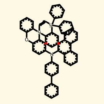 c1ccc(-c2ccc(N(c3ccc4c(c3)[Si]3(c5ccccc5O4)c4ccccc4[Si](c4ccccc4)(c4ccccc4)c4ccccc43)c3cc4ccccc4c4ccccc34)cc2)cc1